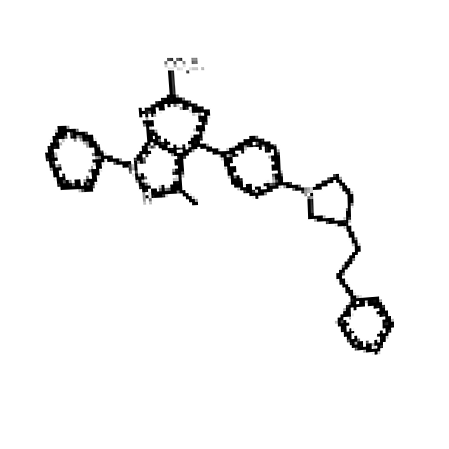 CCOC(=O)c1cc(-c2ccc(N3CCC(CCc4ccccc4)C3)cc2)c2c(C)nn(-c3ccccc3)c2n1